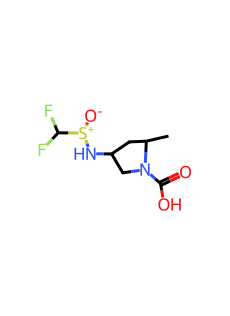 CC1CC(N[S+]([O-])C(F)F)CN1C(=O)O